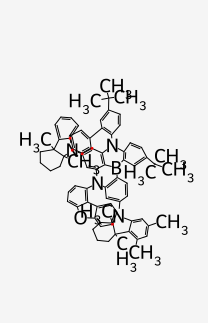 Cc1cc(C)c2c(c1)N(c1ccc3c(c1)N(c1cccc4oc5ccccc5c14)c1cc(N4c5ccccc5C5(C)CCCCC45C)cc4c1B3c1cc(C(C)(C)C)ccc1N4c1ccc(C(C)(C)C)cc1-c1ccccc1)C1(C)CCCCC21C